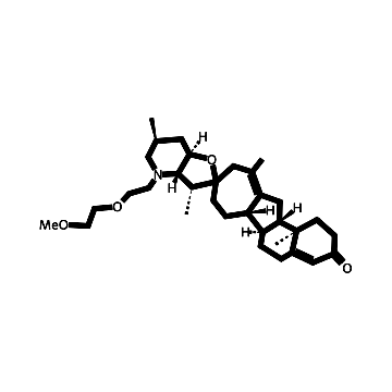 COCCOCCN1C[C@@H](C)C[C@H]2OC3(CC[C@@H]4C(=C(C)C3)C[C@H]3[C@H]4CCC4=CC(=O)CC[C@@]43C)[C@H](C)[C@@H]21